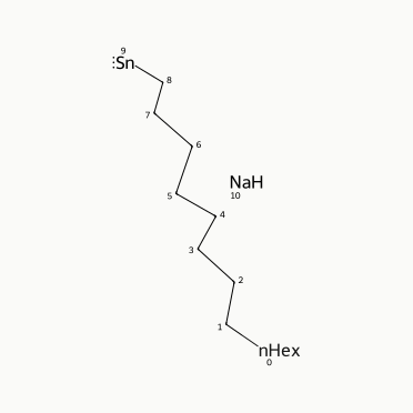 CCCCCCCCCCCCC[CH2][Sn].[NaH]